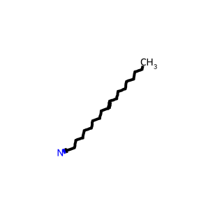 CCCCCCCCC=CCCCCCCCCC#N